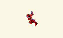 c1ccc(-c2ccnc3c2ccc2c(-c4ccccc4)cc(-c4ccc(-c5cc(-c6cccnc6)cc(-c6cccnc6)c5)c5ccccc45)nc23)cc1